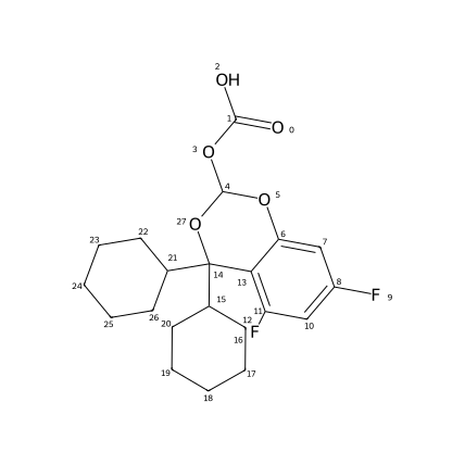 O=C(O)OC1Oc2cc(F)cc(F)c2C(C2CCCCC2)(C2CCCCC2)O1